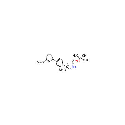 COc1cccc(-c2ccc([C@@]3(OC)CN[C@H](CO[Si](C)(C)C(C)(C)C)C3)cc2)c1